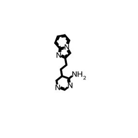 NC1=NC=NCC1CCc1cn2ccccc2n1